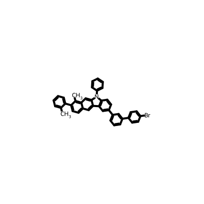 Cc1ccccc1-c1ccc2cc3c4cc(-c5cccc(-c6ccc(Br)cc6)c5)ccc4n(-c4ccccc4)c3cc2c1C